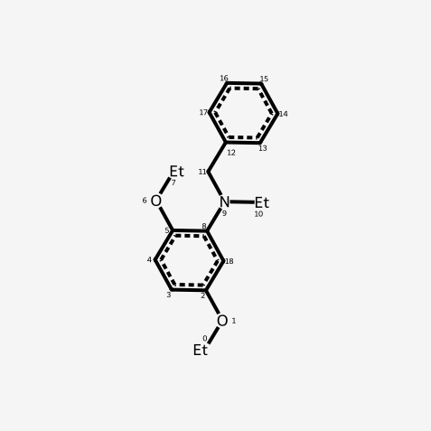 CCOc1ccc(OCC)c(N(CC)Cc2ccccc2)c1